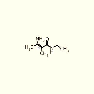 CCNC(=O)/C(C)=C(/C)N